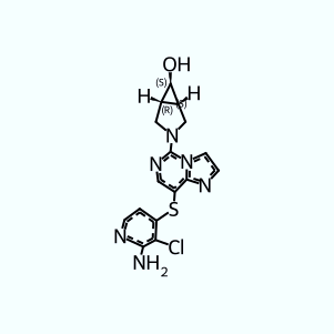 Nc1nccc(Sc2cnc(N3C[C@@H]4[C@@H](O)[C@@H]4C3)n3ccnc23)c1Cl